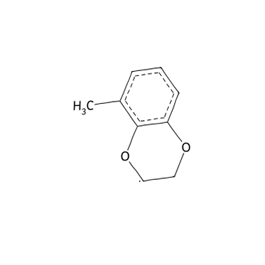 Cc1cccc2c1O[CH]CO2